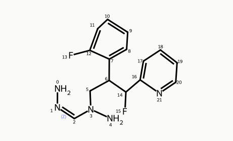 N/N=C\N(N)CC(c1ccccc1F)C(F)c1ccccn1